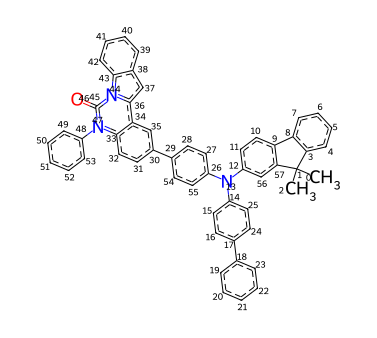 CC1(C)c2ccccc2-c2ccc(N(c3ccc(-c4ccccc4)cc3)c3ccc(-c4ccc5c(c4)c4cc6ccccc6n4c(=O)n5-c4ccccc4)cc3)cc21